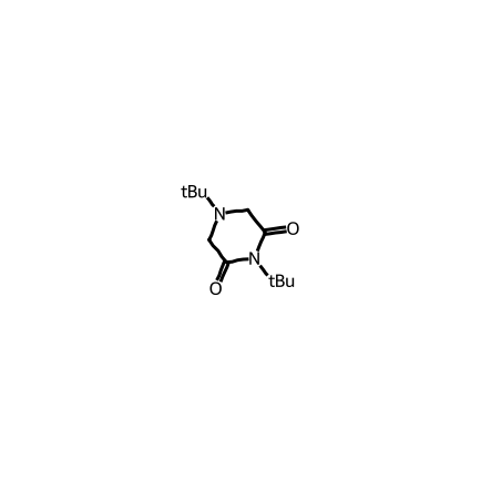 CC(C)(C)N1CC(=O)N(C(C)(C)C)C(=O)C1